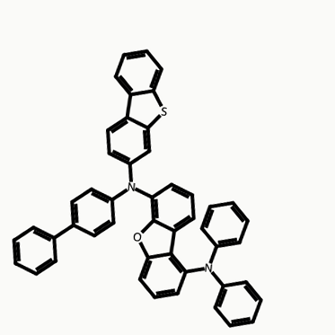 c1ccc(-c2ccc(N(c3ccc4c(c3)sc3ccccc34)c3cccc4c3oc3cccc(N(c5ccccc5)c5ccccc5)c34)cc2)cc1